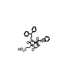 CN1CC(=O)N2[C@@H](CCC(=O)O)C(=O)N(CCC(c3ccccc3)c3ccccc3)C[C@@H]2N1C(=O)NCc1ccccc1